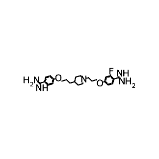 N=C(N)c1ccc(OCCCC2CCN(CCCOc3ccc(C(=N)N)c(F)c3)CC2)cc1